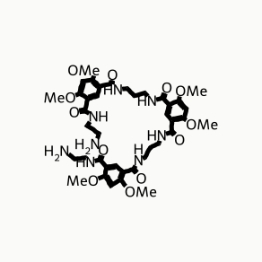 COc1cc(OC)c(C(=O)NCCCNC(=O)c2cc(C(=O)NCCCNC(=O)c3cc(C(=O)NCCN)c(OC)cc3OC)c(OC)cc2OC)cc1C(=O)NCCN